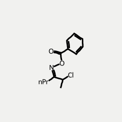 CCCC(=NOC(=O)c1ccccc1)C(C)Cl